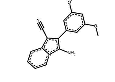 COc1cc(OC)cc(-c2c(C#N)c3ccccn3c2N)c1